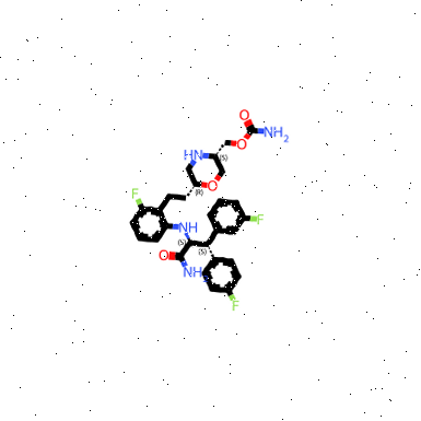 NC(=O)OC[C@@H]1CO[C@H](CCc2c(F)cccc2N[C@H](C(N)=O)[C@@H](c2ccc(F)cc2)c2cccc(F)c2)CN1